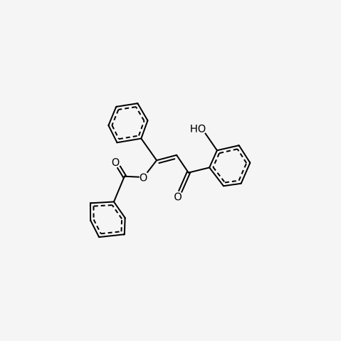 O=C(OC(=CC(=O)c1ccccc1O)c1ccccc1)c1ccccc1